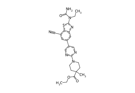 CCOC(=O)C1(C)CCN(c2ncc(-c3cc(C#N)c4sc(N(CC)C(N)=O)nc4c3)cn2)CC1